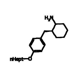 CCCCCCCOc1ccc(C[C@@H]2CCCCC2N)cc1